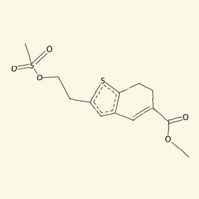 COC(=O)C1=Cc2cc(CCOS(C)(=O)=O)sc2CC1